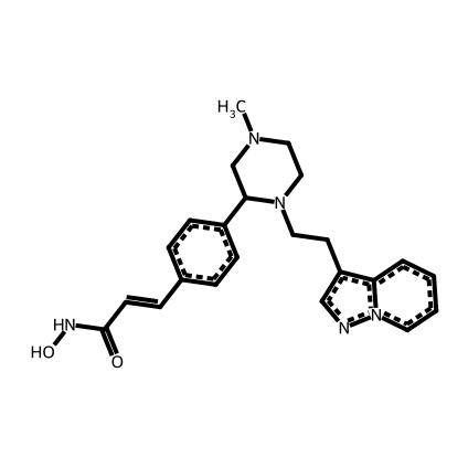 CN1CCN(CCc2cnn3ccccc23)C(c2ccc(C=CC(=O)NO)cc2)C1